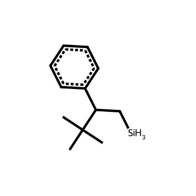 CC(C)(C)C(C[SiH3])c1ccccc1